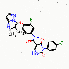 Cc1nc2ccnn2c(Oc2ccc(NC(=O)c3c[nH]c(=O)n(-c4ccc(F)cc4)c3=O)cc2F)c1C